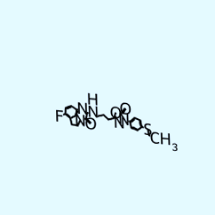 CCSc1ccc(-n2nc(CCCNc3nc4ccc(F)c5c4n(c3=O)CC5)oc2=O)cc1